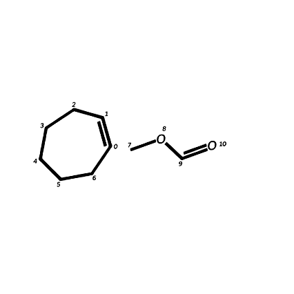 C1=CCCCCC1.COC=O